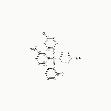 Cc1ccc(S(=O)(=O)N2[C@@H](c3cccc(Cl)c3)C(C(=O)O)=CC[C@H]2c2cccc(Br)c2)cc1